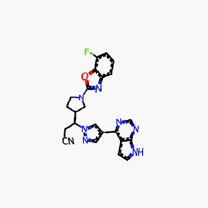 N#CCC(C1CCN(c2nc3cccc(F)c3o2)C1)n1cc(-c2ncnc3[nH]ccc23)cn1